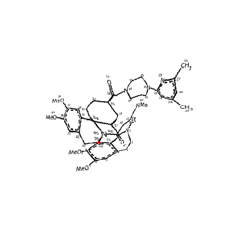 CCN1CCc2cc(OC)c(OC)cc2C1C1CC(C(=O)N2CCN(c3cc(C)cc(C)n3)CC2)CCC12c1cc(OC)c(OC)cc1CCN2C(=O)CCNC